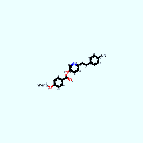 CCCCCOc1ccc(C(=O)Oc2ccc(CCc3ccc(C#N)cc3)nc2)cc1